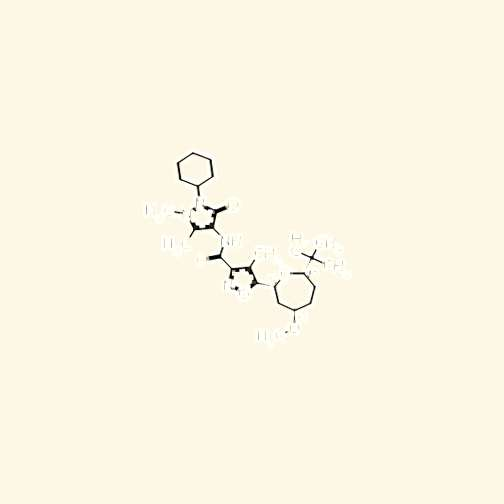 CO[C@@H]1CC[C@H](C(C)(C)C)O[C@H](c2onc(C(=O)Nc3c(C)n(C)n(C4CCCCC4)c3=O)c2C)C1